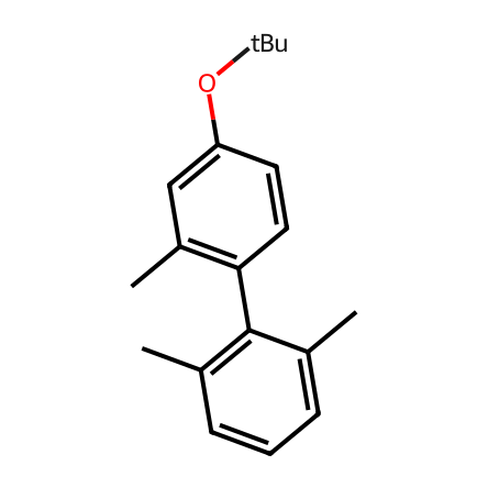 Cc1cc(OC(C)(C)C)ccc1-c1c(C)cccc1C